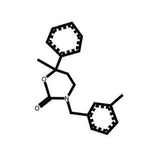 Cc1cccc(CN2CCC(C)(c3ccccc3)OC2=O)c1